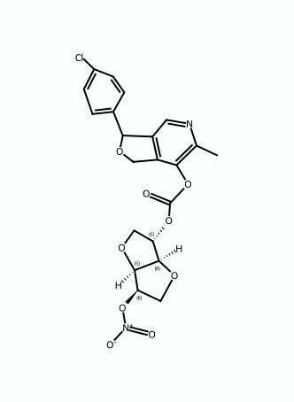 Cc1ncc2c(c1OC(=O)O[C@H]1CO[C@H]3[C@@H]1OC[C@H]3O[N+](=O)[O-])COC2c1ccc(Cl)cc1